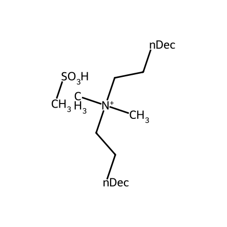 CCCCCCCCCCCC[N+](C)(C)CCCCCCCCCCCC.CS(=O)(=O)O